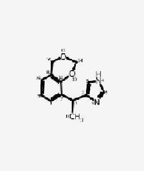 CC(c1c[nH]cn1)c1cccc2c1OCOC2